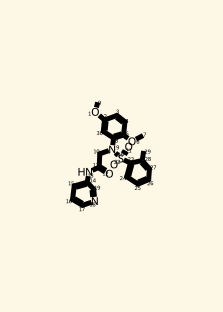 COc1ccc(OC)c(N(CC(=O)Nc2cccnc2)S(=O)(=O)c2ccccc2C)c1